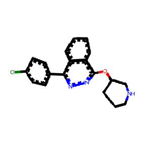 Clc1ccc(-c2nnc(OC3CCCNC3)c3ccccc23)cc1